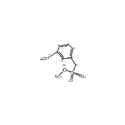 CCCCCCCCc1cccc(CS(=O)(=O)OCC)c1